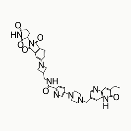 CCc1cc2ncc(CN3CCN(c4ccc(C(=O)NCC5CN(c6ccc7c(c6)C(=O)N(C6CCC(=O)NC6=O)C7=O)C5)nc4)CC3)cc2[nH]c1=O